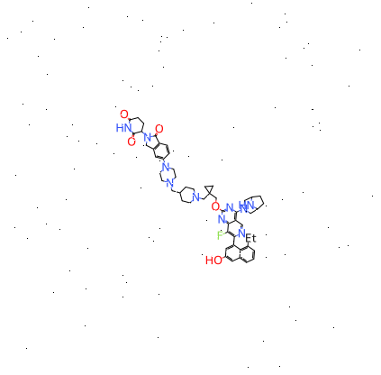 CCc1cccc2cc(O)cc(-c3ncc4c(N5CC6CCC(C5)N6)nc(OCC5(CN6CCC(CN7CCN(c8ccc9c(c8)CN(C8CCC(=O)NC8=O)C9=O)CC7)CC6)CC5)nc4c3F)c12